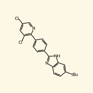 CC(C)(C)c1ccc2nc(-c3ccc(-c4ncc(Cl)cc4Cl)cc3)[nH]c2c1